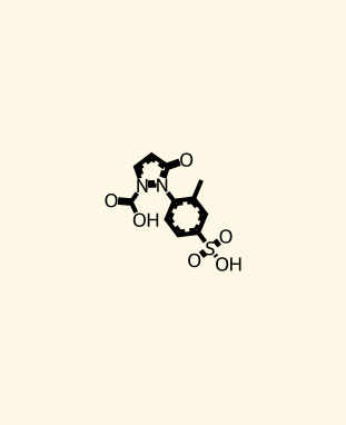 Cc1cc(S(=O)(=O)O)ccc1-n1c(=O)ccn1C(=O)O